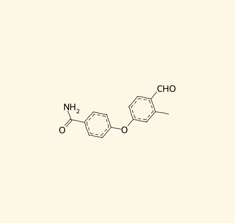 Cc1cc(Oc2ccc(C(N)=O)cc2)ccc1C=O